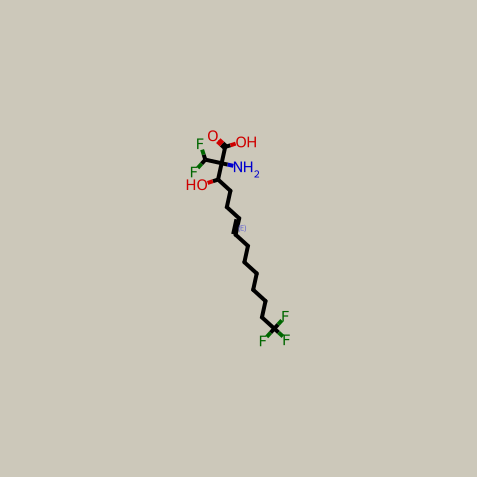 NC(C(=O)O)(C(F)F)C(O)CC/C=C/CCCCCCC(F)(F)F